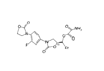 CCC(OC(=O)C(N)=O)[C@@H]1CN(c2ccc(N3CCOC3=O)c(F)c2)C(=O)O1